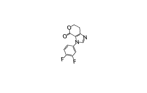 O=C1OCCc2ncn(-c3ccc(F)c(F)c3)c21